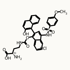 COc1ccc(S(=O)(=O)Nc2cc(-c3c(O)ccc4ccccc34)c(OC(=O)NCC[C@H](N)C(=O)O)c3ccccc23)cc1.Cl